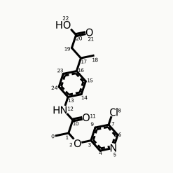 CC(Oc1cncc(Cl)c1)C(=O)Nc1ccc(C(C)CC(=O)O)cc1